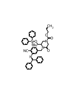 C=CCOC(=O)N1CC(=O)N(Cc2ccc(C#N)c(N=C(c3ccccc3)c3ccccc3)c2)C(CO[Si](c2ccccc2)(c2ccccc2)C(C)(C)C)C1